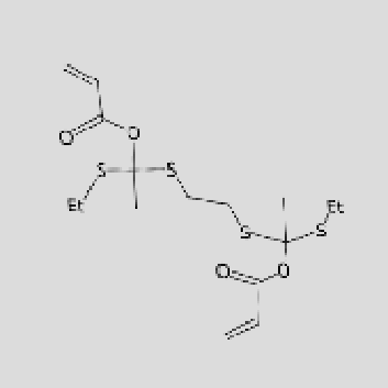 C=CC(=O)OC(C)(SCC)SCCSC(C)(OC(=O)C=C)SCC